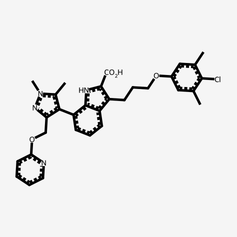 Cc1cc(OCCCc2c(C(=O)O)[nH]c3c(-c4c(COc5ccccn5)nn(C)c4C)cccc23)cc(C)c1Cl